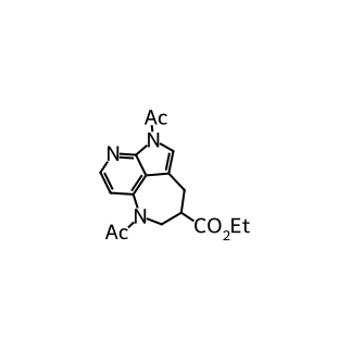 CCOC(=O)C1Cc2cn(C(C)=O)c3nccc(c23)N(C(C)=O)C1